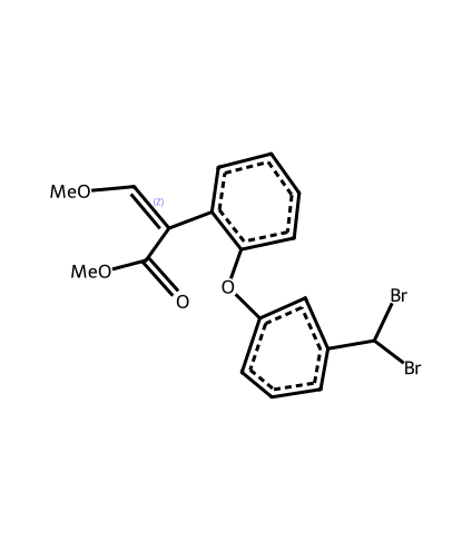 CO/C=C(\C(=O)OC)c1ccccc1Oc1cccc(C(Br)Br)c1